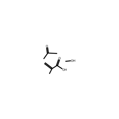 C=C(C)C(=O)O.CC(C)=O.CO